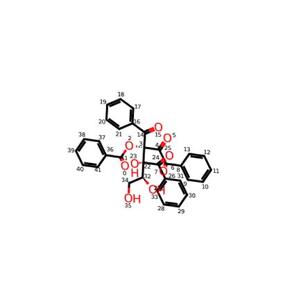 O=C(O[C@@](C(=O)C(=O)c1ccccc1)(C(=O)c1ccccc1)[C@@](O)(C(=O)c1ccccc1)[C@@H](O)CO)c1ccccc1